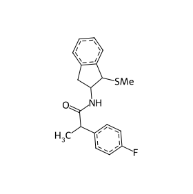 CSC1c2ccccc2CC1NC(=O)C(C)c1ccc(F)cc1